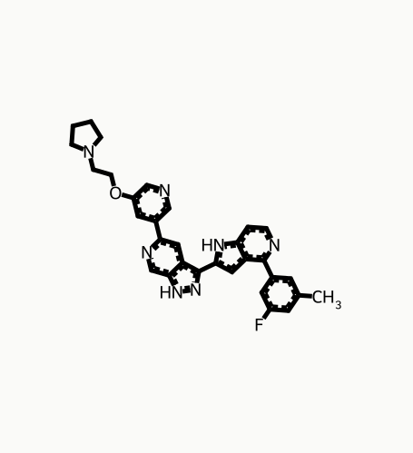 Cc1cc(F)cc(-c2nccc3[nH]c(-c4n[nH]c5cnc(-c6cncc(OCCN7CCCC7)c6)cc45)cc23)c1